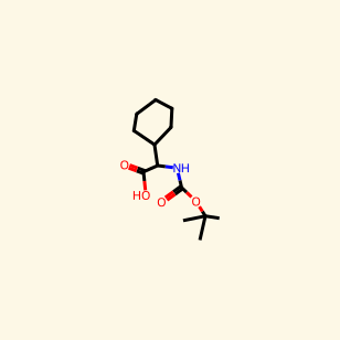 CC(C)(C)OC(=O)NC(C(=O)O)C1CCCCC1